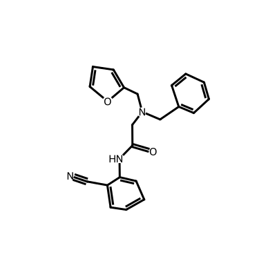 N#Cc1ccccc1NC(=O)CN(Cc1ccccc1)Cc1ccco1